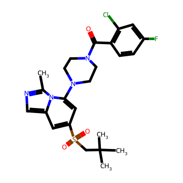 Cc1ncc2cc(S(=O)(=O)CC(C)(C)C)cc(N3CCN(C(=O)c4ccc(F)cc4Cl)CC3)n12